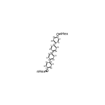 CCCCCCOc1ccc(-c2ccc(-c3ccc(-c4ccc(OCCCCCC)cc4)cc3)cc2)cc1